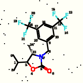 CC(C)C1OC(=O)N(Cc2cc(C(F)(F)F)cc(C(F)(F)F)c2)[C@H]1C